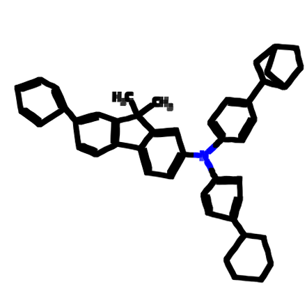 CC1(C)c2cc(-c3ccccc3)ccc2-c2ccc(N(c3ccc(C4CCCCC4)cc3)c3ccc(C4CC5CCC4C5)cc3)cc21